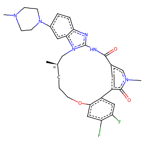 C[C@@H]1CCCOc2cc(F)c(F)cc2-c2cc(cn(C)c2=O)C(=O)Nc2nc3ccc(N4CCN(C)CC4)cc3n2C1